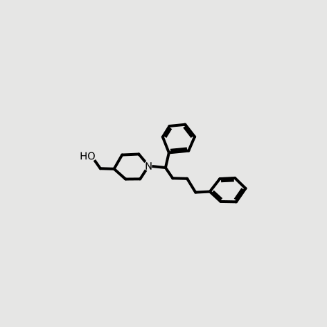 OCC1CCN(C(CCCc2ccccc2)c2ccccc2)CC1